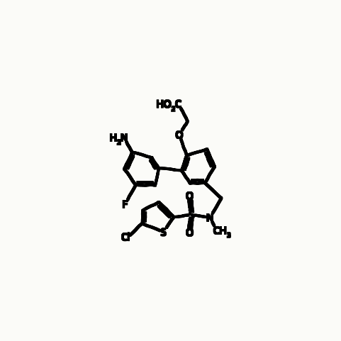 CN(Cc1ccc(OCC(=O)O)c(-c2cc(N)cc(F)c2)c1)S(=O)(=O)c1ccc(Cl)s1